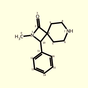 CN1C(=O)C2(CCNCC2)C1c1ccccc1